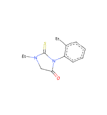 CCc1ccccc1N1C(=O)CN(CC)C1=S